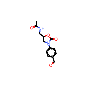 CC(=O)NCC1CN(c2ccc(C=O)cc2)C(=O)O1